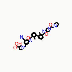 Cc1c(-c2nc3c(o2)CN(C(=O)CN2CCCC2)C3)cccc1-c1cccc(-c2nc3cc(CN4CC[C@@H](C(=O)O)C4)cc(C#N)c3o2)c1C